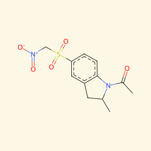 CC(=O)N1c2ccc(S(=O)(=O)C[N+](=O)[O-])cc2CC1C